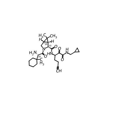 C#CCCC(NC(=O)[C@@H]1[C@@H]2[C@H](CN1C(=O)[C@@H](N)C1(C)CCCCC1)C2(C)C)C(=O)C(=O)NCC1CC1